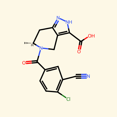 C[C@@H]1Cc2n[nH]c(C(=O)O)c2CN1C(=O)c1ccc(Cl)c(C#N)c1